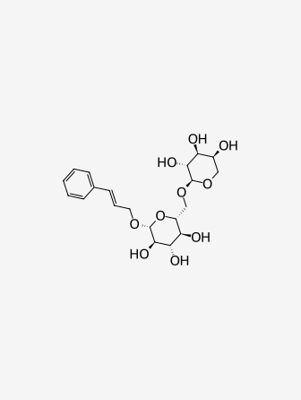 O[C@@H]1[C@@H](O)[C@H](OCC=Cc2ccccc2)O[C@H](CO[C@@H]2OC[C@H](O)[C@H](O)[C@H]2O)[C@H]1O